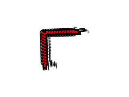 O=[N+]([O-])[O-].O=[N+]([O-])[O-].O=[N+]([O-])[O-].O=[N+]([O-])[O-].O=[N+]([O-])[O-].O=[N+]([O-])[O-].O=[N+]([O-])[O-].O=[N+]([O-])[O-].O=[N+]([O-])[O-].O=[N+]([O-])[O-].O=[N+]([O-])[O-].O=[N+]([O-])[O-].O=[N+]([O-])[O-].O=[N+]([O-])[O-].O=[N+]([O-])[O-].O=[N+]([O-])[O-].O=[N+]([O-])[O-].O=[N+]([O-])[O-].O=[N+]([O-])[O-].O=[N+]([O-])[O-].O=[N+]([O-])[O-].O=[N+]([O-])[O-].[Bi+3].[Bi+3].[Bi+3].[Bi+3].[Bi+3].[Bi+3].[Bi+3].[Bi+3].[Bi+3].[Bi+3]